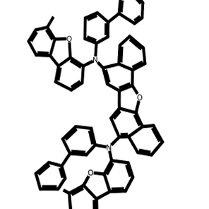 Cc1cccc2c1oc1c(N(c3cccc(-c4ccccc4)c3)c3cc4c5cc(N(c6cccc(-c7ccccc7)c6)c6cccc7c6oc6c(C)cccc67)c6ccccc6c5oc4c4ccccc34)cccc12